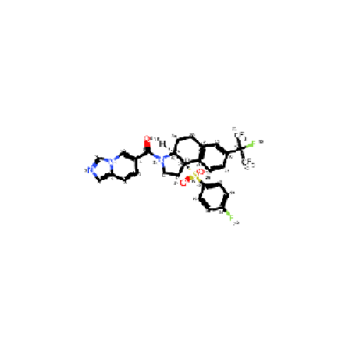 O=C(c1ccc2cncn2c1)N1CC[C@]2(S(=O)(=O)c3ccc(F)cc3)c3ccc(C(F)(C(F)(F)F)C(F)(F)F)cc3CC[C@H]12